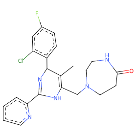 CC1=C(CN2CCNC(=O)CC2)NC(c2ccccn2)=NC1c1ccc(F)cc1Cl